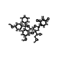 COCC(=O)[C@]1(O)C[C@H](n2ccc(=O)[nH]c2=O)O[C@@H]1COC(c1ccccc1)(c1ccc(OC)cc1)c1ccc(OC)cc1